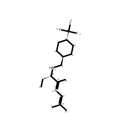 CC[C@H](NC[C@H]1CC[C@H](C(F)(F)F)CC1)/C(C)=N/C=C(C)C